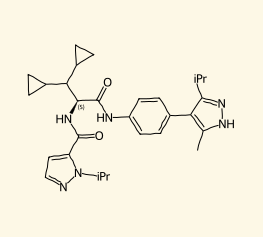 Cc1[nH]nc(C(C)C)c1-c1ccc(NC(=O)[C@@H](NC(=O)c2ccnn2C(C)C)C(C2CC2)C2CC2)cc1